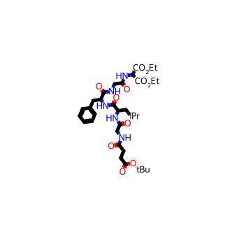 CCOC(=O)C(NC(=O)CNC(=O)C(Cc1ccccc1)NC(=O)C(CC(C)C)NC(=O)CNC(=O)CCC(=O)OC(C)(C)C)C(=O)OCC